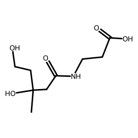 CC(O)(CCO)CC(=O)NCCC(=O)O